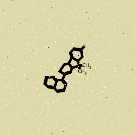 CC1(C)C2CC(I)=CC=C2C2CCC(c3cccc4ccccc34)=CC21